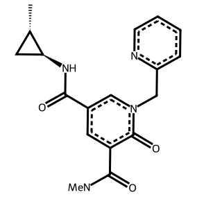 CNC(=O)c1cc(C(=O)N[C@H]2C[C@@H]2C)cn(Cc2ccccn2)c1=O